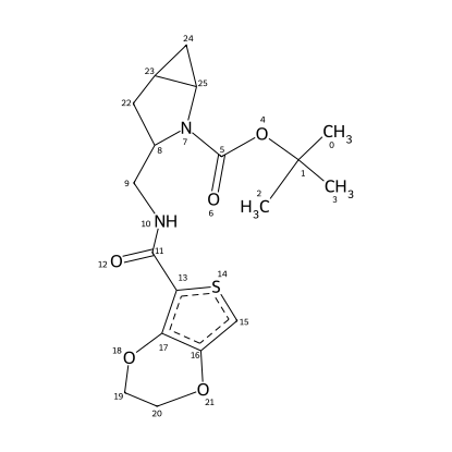 CC(C)(C)OC(=O)N1C(CNC(=O)c2scc3c2OCCO3)CC2CC21